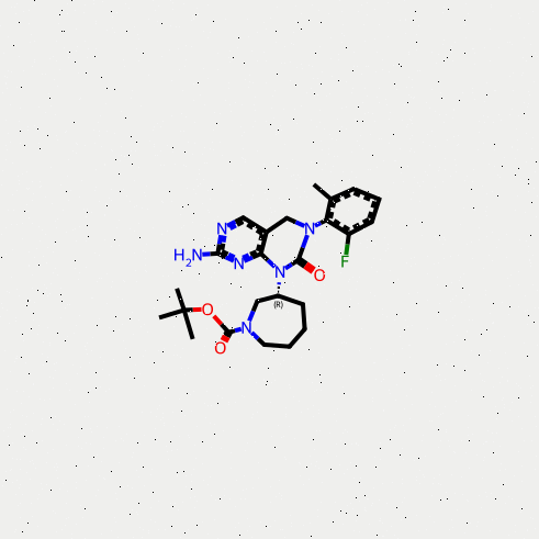 Cc1cccc(F)c1N1Cc2cnc(N)nc2N([C@@H]2CCCCN(C(=O)OC(C)(C)C)C2)C1=O